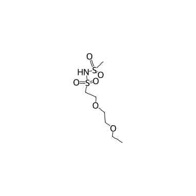 CCOCCOCCS(=O)(=O)NS(C)(=O)=O